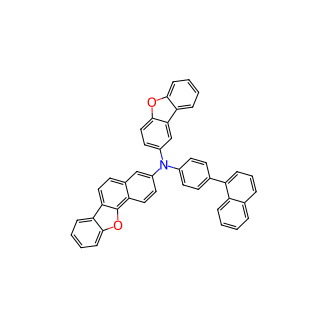 c1ccc2c(-c3ccc(N(c4ccc5c(ccc6c7ccccc7oc56)c4)c4ccc5oc6ccccc6c5c4)cc3)cccc2c1